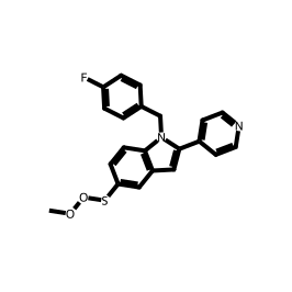 COOSc1ccc2c(c1)cc(-c1ccncc1)n2Cc1ccc(F)cc1